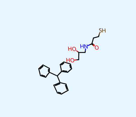 O=C(CCS)NCC(O)CO.c1ccc(C(c2ccccc2)c2ccccc2)cc1